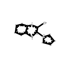 Clc1nc2ccccc2nc1-n1cccc1